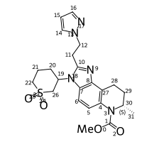 COC(=O)N1c2ccc3c(nc(CCn4cccn4)n3C3CCCS(=O)(=O)C3)c2CC[C@@H]1C